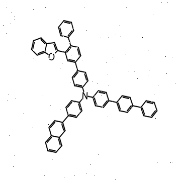 c1ccc(-c2ccc(-c3ccc(N(c4ccc(-c5ccc(-c6ccccc6)c(-c6cc7ccccc7o6)c5)cc4)c4ccc(-c5ccc6ccccc6c5)cc4)cc3)cc2)cc1